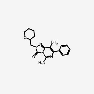 Bc1c(-c2ccccc2)nc(N)n2c(=O)n(CC3CCCCO3)nc12